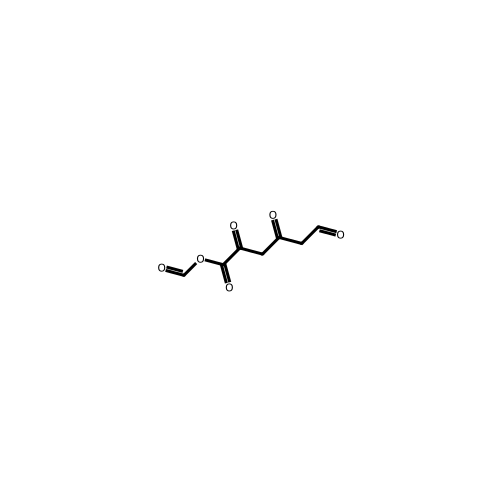 O=CCC(=O)CC(=O)C(=O)OC=O